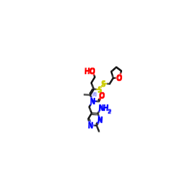 C/C(=C(\CCO)SSCC1CCCO1)N(C=O)Cc1cnc(C)nc1N